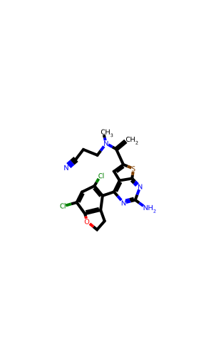 C=C(c1cc2c(-c3c(Cl)cc(Cl)c4c3CCO4)nc(N)nc2s1)N(C)CCC#N